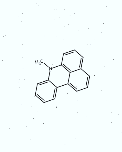 CN1c2ccccc2-c2cccc3cccc1c23